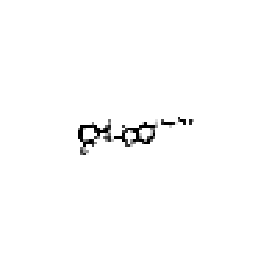 CCOCOc1ccc2nc(NC(=O)c3cccc(Br)n3)sc2c1